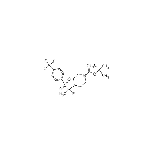 CC(C)(C)OC(=O)N1CCC(C(C)(F)S(=O)(=O)c2ccc(C(F)(F)F)cc2)CC1